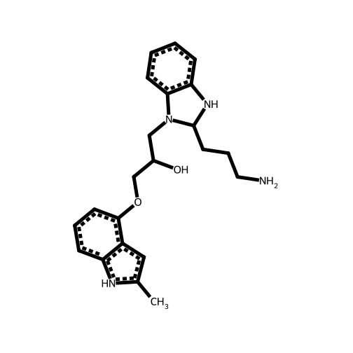 Cc1cc2c(OCC(O)CN3c4ccccc4NC3CCCN)cccc2[nH]1